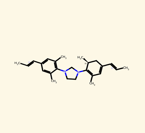 C/C=C/C1=CC(C)=C(N2CCN(c3c(C)cc(/C=C/C)cc3C)C2)[C@@H](C)C1